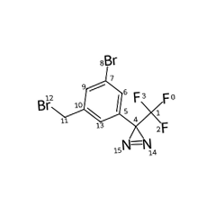 FC(F)(F)C1(c2cc(Br)cc(CBr)c2)N=N1